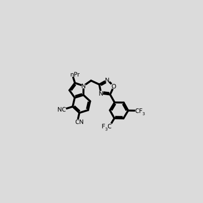 CCCc1cc2c(C#N)c(C#N)ccc2n1Cc1noc(-c2cc(C(F)(F)F)cc(C(F)(F)F)c2)n1